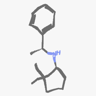 C[C@@H](N[C@H]1CCCC1(C)C)c1ccccc1